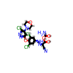 N#CC(=NNc1cc(Cl)c(Oc2cc(N3CCOCC3)c(Cl)nn2)c(Cl)c1)C(=O)OC(N)=O